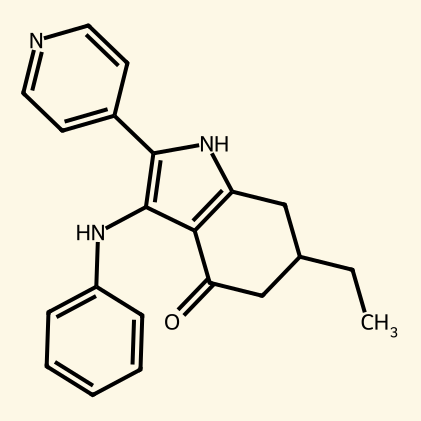 CCC1CC(=O)c2c([nH]c(-c3ccncc3)c2Nc2ccccc2)C1